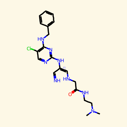 CN(C)CCNC(=O)CN/C=C(\C=N)Nc1ncc(Cl)c(NCc2ccccc2)n1